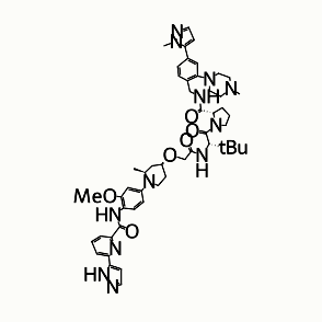 COc1cc(N2CC[C@H](OCC(=O)N[C@H](C(=O)N3CCC[C@H]3C(=O)NCc3ccc(-c4ccnn4C)cc3N3CCN(C)CC3)C(C)(C)C)C[C@@H]2C)ccc1NC(=O)c1cccc(-c2ccn[nH]2)n1